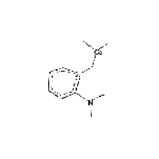 CN(C)c1ccccc1[CH2][Ga]([CH3])[CH3]